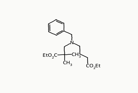 CCOC(=O)CCCN(Cc1ccccc1)CC(C)(C)C(=O)OCC